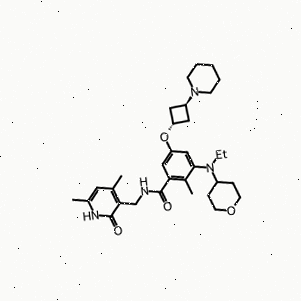 CCN(c1cc(O[C@H]2C[C@H](N3CCCCC3)C2)cc(C(=O)NCc2c(C)cc(C)[nH]c2=O)c1C)C1CCOCC1